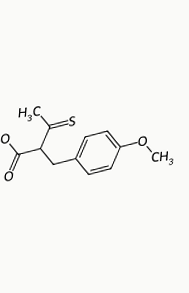 COc1ccc(CC(C(=O)O)C(C)=S)cc1